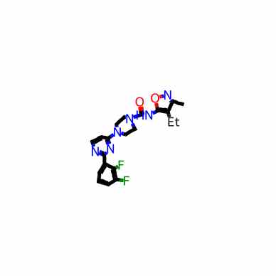 CCc1c(C)noc1NC(=O)N1CCN(c2ccnc(-c3cccc(F)c3F)n2)CC1